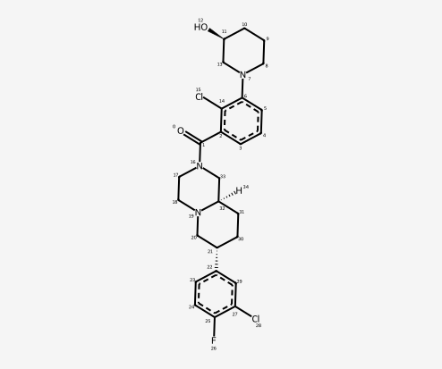 O=C(c1cccc(N2CCC[C@H](O)C2)c1Cl)N1CCN2C[C@@H](c3ccc(F)c(Cl)c3)CC[C@@H]2C1